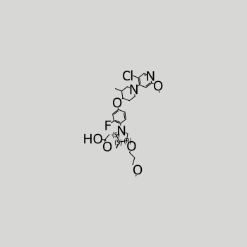 COCCCO[C@H]1CN(c2ccc(OC3CCN(c4cc(OC)ncc4Cl)CC3C)cc2F)[C@@H](CC(=O)O)[C@@H]1C